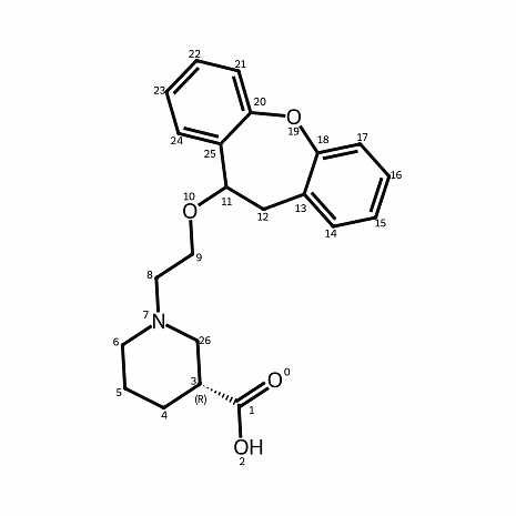 O=C(O)[C@@H]1CCCN(CCOC2Cc3ccccc3Oc3ccccc32)C1